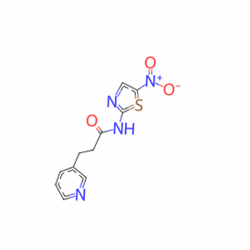 O=C(CCc1cccnc1)Nc1ncc([N+](=O)[O-])s1